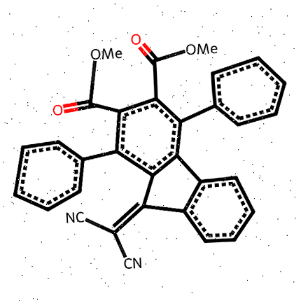 COC(=O)c1c(C(=O)OC)c(-c2ccccc2)c2c(c1-c1ccccc1)C(=C(C#N)C#N)c1ccccc1-2